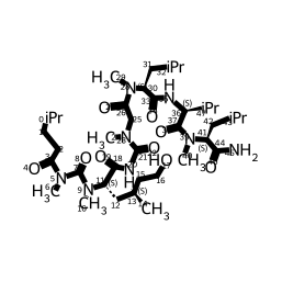 CC(C)CCC(=O)N(C)C(=O)N(C)[C@@H](C[C@H](C)CCO)C(=O)NC(=O)N(C)CC(=O)N(C)[C@@H](CC(C)C)C(=O)N[C@H](C(=O)N(C)[C@@H](CC(C)C)C(N)=O)C(C)C